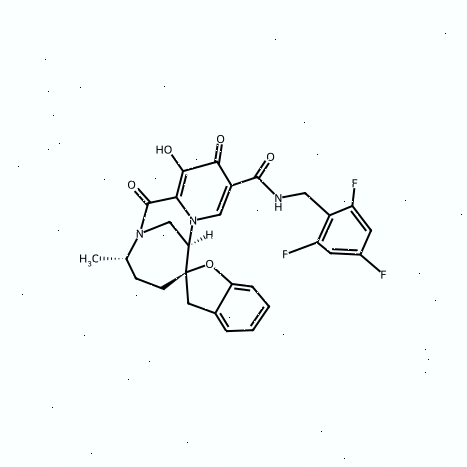 C[C@H]1CC[C@@]2(Cc3ccccc3O2)[C@H]2CN1C(=O)c1c(O)c(=O)c(C(=O)NCc3c(F)cc(F)cc3F)cn12